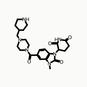 Cn1c(=O)n(C2CCC(=O)NC2=O)c2ccc(C(=O)N3CCN(CC4CCNCC4)CC3)cc21